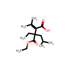 CCOC(=O)C(CC)(CC(C)C)C(C(=O)O)=C(C)C